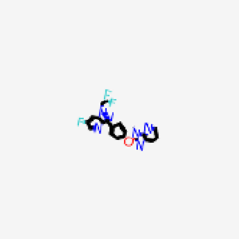 Cn1c(Oc2ccc(-c3nn(CC(F)F)c4cc(F)cnc34)cc2)nc2cccnc21